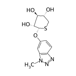 Cn1nnc2ccc(O[C@H]3SC[C@@H](O)[C@H](O)[C@H]3O)cc21